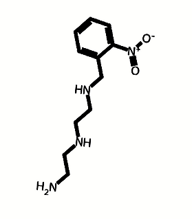 NCCNCCNCc1ccccc1[N+](=O)[O-]